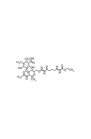 CCOC(=O)NNCCCC(=O)NNOCC1O[C@@H](C)C(NC(C)=O)[C@@H](O[C@@H]2OC(C(=O)O)[C@@H](C)[C@H](C)C2O)[C@@H]1O